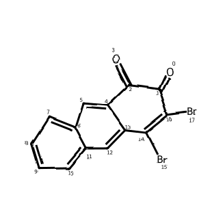 O=C1C(=O)c2cc3ccccc3cc2C(Br)=C1Br